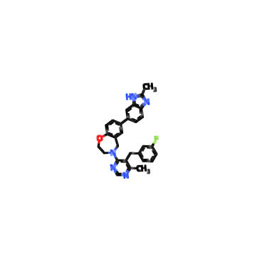 Cc1nc2ccc(-c3ccc4c(c3)CN(c3ncnc(C)c3Cc3cccc(F)c3)CCO4)cc2[nH]1